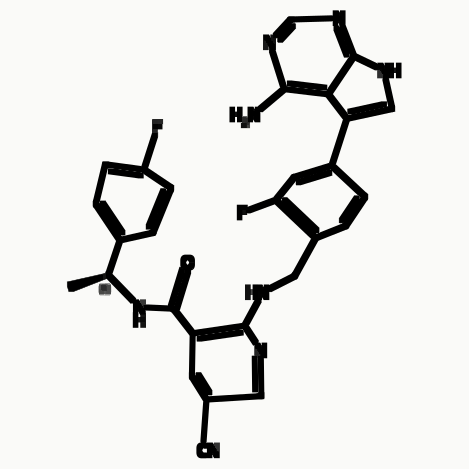 C[C@H](NC(=O)c1cc(C#N)cnc1NCc1ccc(-c2c[nH]c3ncnc(N)c23)cc1F)c1ccc(F)cc1